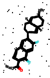 CCCC1CC[C@@H]2CC(c3cc4ccc(C(=O)OC)c(F)c4cc3F)CC[C@H]2C1